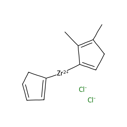 CC1=C(C)[C]([Zr+2][C]2=CC=CC2)=CC1.[Cl-].[Cl-]